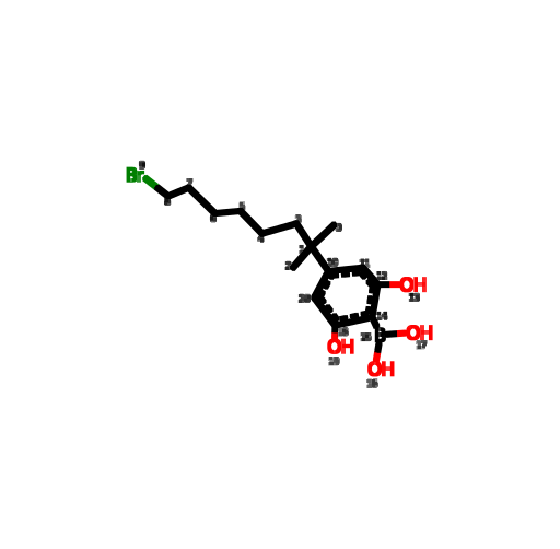 CC(C)(CCCCCCBr)c1cc(O)c(B(O)O)c(O)c1